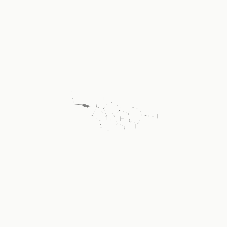 CCC1C(CC)C2(O)CC(O)CC[C@]2(C)[C@@H]2CC[C@@]3(C)[C@@H](C(CC)C(CC)C3(O)C#CCO)[C@H]12